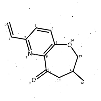 C=Cc1ccc2c(n1)C(=O)CC(C)CO2